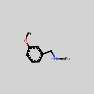 CCCCNCc1cccc(OC(C)C)c1